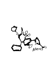 COC(=O)c1ccc(-c2cc3c(cc2Cl)N(c2ccccc2)C[C@@H](C2CCCCC2)N(C)S3(=O)=O)s1